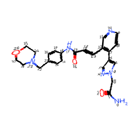 NC(=O)Cn1cc(-c2ccncc2C=CC(=O)Nc2ccc(CN3CCOCC3)cc2)cn1